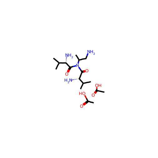 CC(=O)O.CC(=O)O.CC(C)[C@H](N)C(=O)N(C(=O)[C@@H](N)C(C)C)C(C)CN